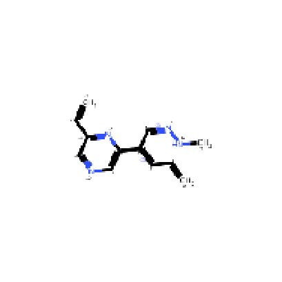 C=C/C=C(\C=N/NC)c1cncc(C=C)n1